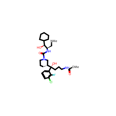 CNC[C@@H](NC(=O)N1CCC[C@@H]([C@@](O)(CCCNC(=O)OC)c2cccc(Cl)c2F)C1)[C@@H](O)C1CCCCC1